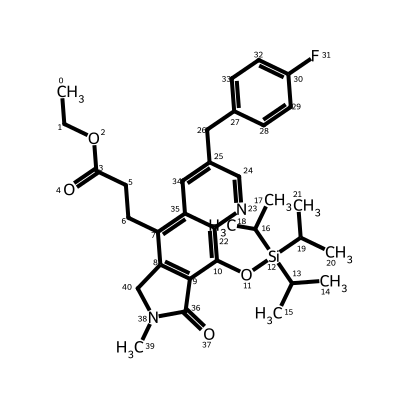 CCOC(=O)CCc1c2c(c(O[Si](C(C)C)(C(C)C)C(C)C)c3ncc(Cc4ccc(F)cc4)cc13)C(=O)N(C)C2